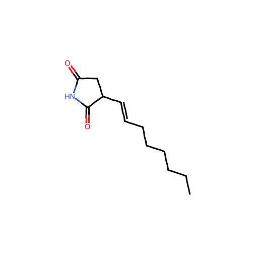 CCCCCCC=CC1CC(=O)NC1=O